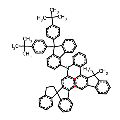 CC(C)(C)c1ccc(C2(c3ccc(C(C)(C)C)cc3)c3ccccc3-c3c(N(c4ccc5c(c4)C4(CCc6ccccc64)c4ccccc4-5)c4ccccc4-c4cccc5c4C(C)(C)c4ccccc4-5)cccc32)cc1